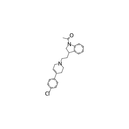 CC(=O)N1CC(CCN2CC=C(c3ccc(Cl)cc3)CC2)c2ccccc21